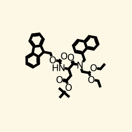 CCOC(CN(Cc1cccc2ccccc12)C(=O)C(CC(=O)OC(C)(C)C)NC(=O)OCC1c2ccccc2-c2ccccc21)OCC